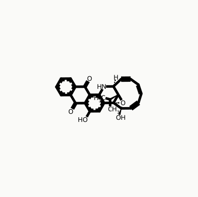 CC(C)[C@@]12O[C@]13c1cc(O)c4c(c1N[C@H]2C#C/C=C\C#C[C@H]3O)C(=O)c1ccccc1C4=O